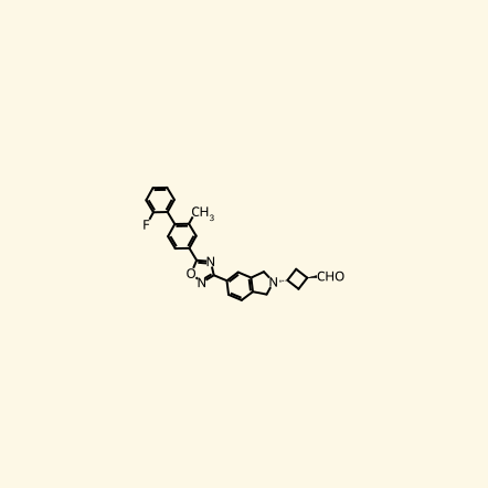 Cc1cc(-c2nc(-c3ccc4c(c3)CN([C@H]3C[C@H](C=O)C3)C4)no2)ccc1-c1ccccc1F